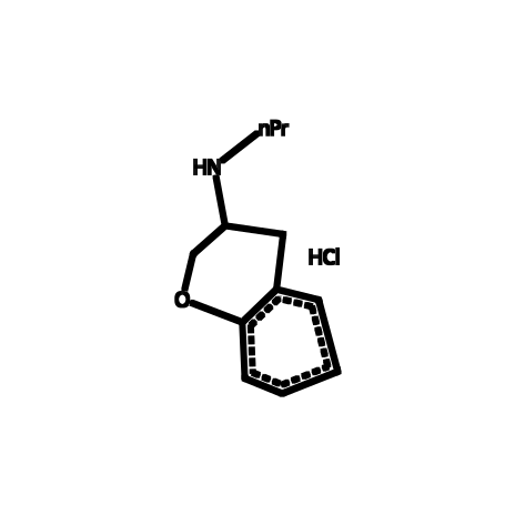 CCCNC1COc2ccccc2C1.Cl